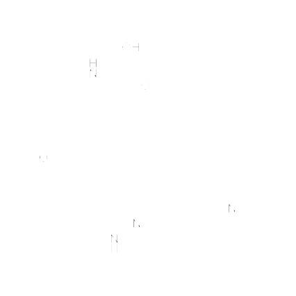 OC1NCCCOc2ccc3[nH]nc(c3c2)-c2cc(cc(CN3CCCC3)c2)CO1